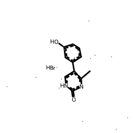 Br.Cc1nc(=O)[nH]cc1-c1cccc(O)c1